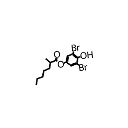 CCCCCC(C)C(=O)Oc1cc(Br)c(O)c(Br)c1